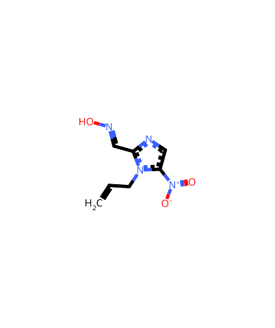 C=CCn1c([N+](=O)[O-])cnc1C=NO